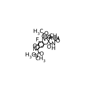 C[C@H]1CN2c3c(cc4c(C(=O)N(C)C)noc4c3F)CC3(C(=O)NC(=O)NC3=O)[C@@H]2[C@@H](C)O1